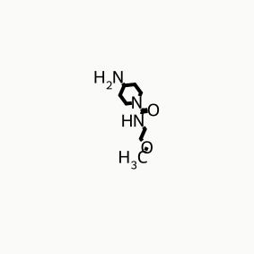 COCCNC(=O)N1CCC(N)CC1